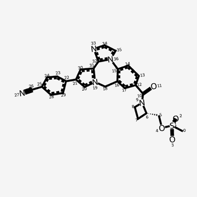 CS(=O)(=O)OC[C@@H]1CCN1C(=O)c1ccc2c(c1)Cn1cc(-c3ccc(C#N)cc3)cc1-c1nccn1-2